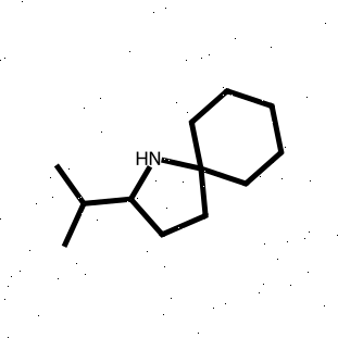 CC(C)C1CCC2(CCCCC2)N1